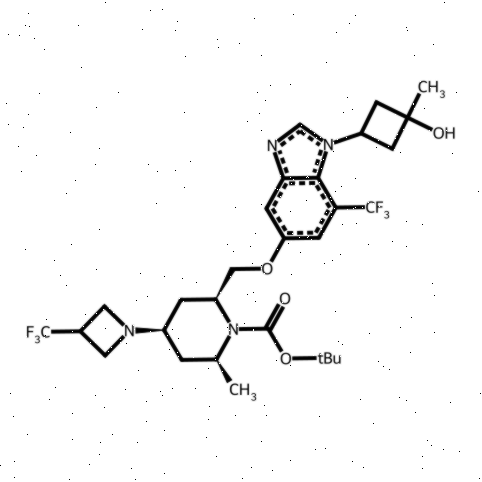 C[C@H]1C[C@@H](N2CC(C(F)(F)F)C2)C[C@@H](COc2cc(C(F)(F)F)c3c(c2)ncn3C2CC(C)(O)C2)N1C(=O)OC(C)(C)C